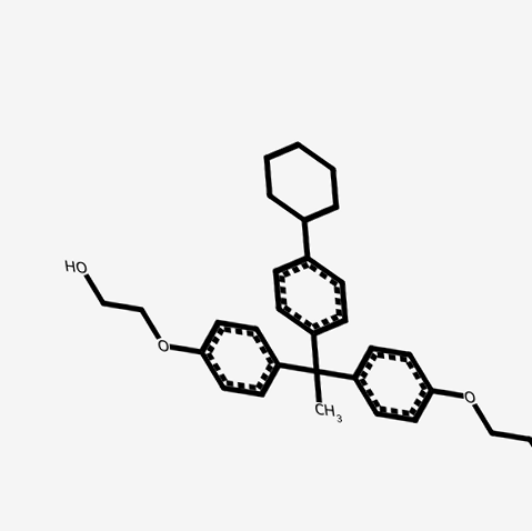 CC(c1ccc(OCCO)cc1)(c1ccc(OCCO)cc1)c1ccc(C2CCCCC2)cc1